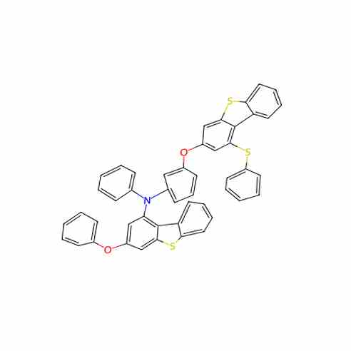 c1ccc(Oc2cc(N(c3ccccc3)c3cccc(Oc4cc(Sc5ccccc5)c5c(c4)sc4ccccc45)c3)c3c(c2)sc2ccccc23)cc1